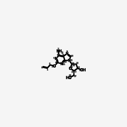 C=CCOc1nc(N)c2ncn([C@H]3CC(O)[C@@H](CO)O3)c2n1